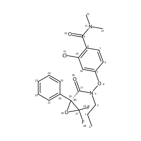 CCCN(Oc1ccc(C(=O)N(C)C)c(Cl)c1)C(=O)[C@@]1(c2ccccc2)OC1(F)F